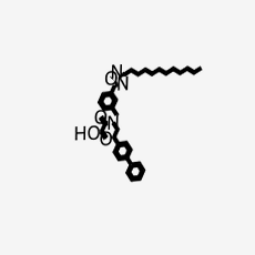 CCCCCCCCCCCc1noc(-c2cccc(CN(CCc3ccc(-c4ccccc4)cc3)C(=O)C(=O)O)c2)n1